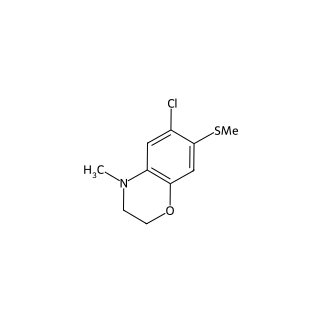 CSc1cc2c(cc1Cl)N(C)CCO2